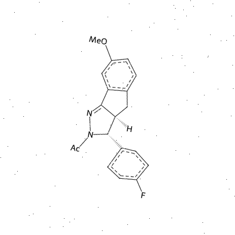 COc1ccc2c(c1)C1=NN(C(C)=O)[C@@H](c3ccc(F)cc3)[C@@H]1C2